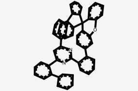 c1ccc(-c2cc(-c3ccccc3-c3ccccc3)nc(-c3ccccc3-c3ccc4c(c3)Oc3ccccc3C43c4ccccc4-c4ccccc43)n2)cc1